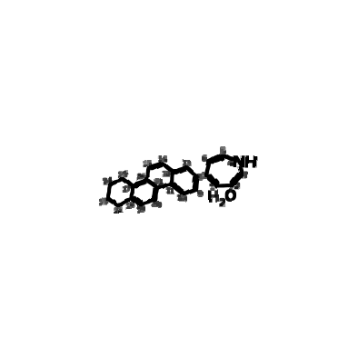 C1=CC=CNC=C1.O.c1ccc2c(c1)ccc1c3c(ccc12)CCCC3